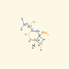 C[C@H](C1=NC2(P)C[C@H](C)[C@H]2CS1)N(C)C